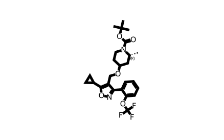 C[C@@H]1CC(OCc2c(-c3ccccc3OC(F)(F)F)noc2C2CC2)CCN1C(=O)OC(C)(C)C